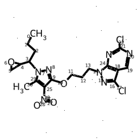 CCCC(C1CO1)n1nc(OCCCn2nc(Cl)c3cnc(Cl)nc32)c([N+](=O)[O-])c1C